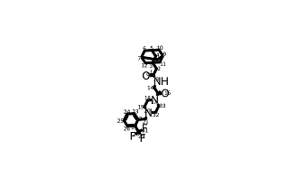 O=C(CC12CC3CC(CC(C3)C1)C2)NCC(=O)N1CCN(Cc2ccccc2C(F)(F)F)CC1